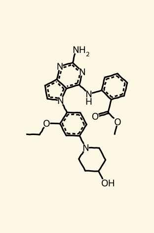 CCOc1cc(N2CCC(O)CC2)ccc1-n1ccc2nc(N)nc(Nc3ccccc3C(=O)OC)c21